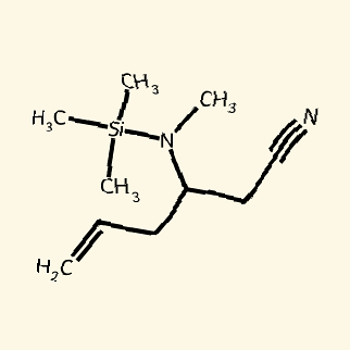 C=CCC(CC#N)N(C)[Si](C)(C)C